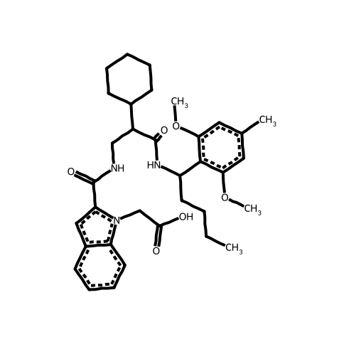 CCCCC(NC(=O)C(CNC(=O)c1cc2ccccc2n1CC(=O)O)C1CCCCC1)c1c(OC)cc(C)cc1OC